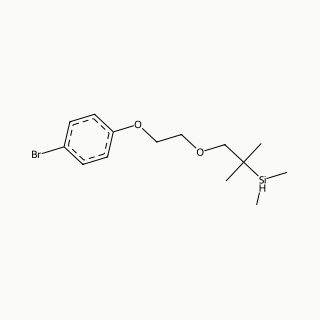 C[SiH](C)C(C)(C)COCCOc1ccc(Br)cc1